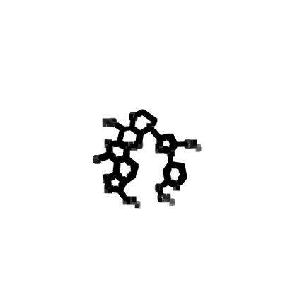 COc1cc(-n2nc(N3CCO[C@H](C(O)c4nc(=O)c5c(ccc6c(N)nsc65)[nH]4)C3=O)cc2C)ccn1